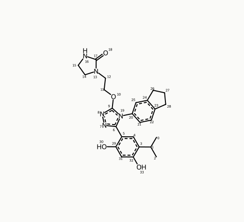 CC(C)c1cc(-c2nnc(OCCN3CCNC3=O)n2-c2ccc3c(c2)CCC3)c(O)cc1O